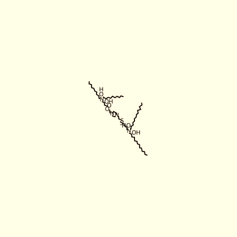 CCCCCCCCCCCCC(O)CN(CCCCSSCCN1CCN(CCOC(=O)CCCN(CC(O)CCCCCCCC)CC(O)CCCCCCCC)CC1)CC(O)CCCCCCCCCCCC